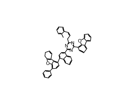 Cc1ccccc1/C=C\Cc1nc(-c2ccc(-c3ccc(-c4ccccc4)c4oc5c(c34)C=CCC5)c3ccccc23)nc(-c2cccc3c2oc2ccccc23)n1